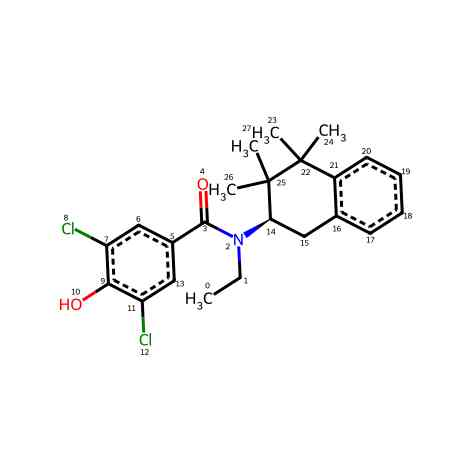 CCN(C(=O)c1cc(Cl)c(O)c(Cl)c1)[C@@H]1Cc2ccccc2C(C)(C)C1(C)C